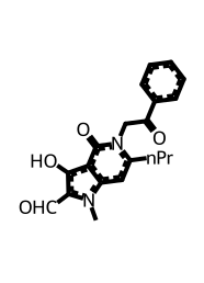 CCCc1cc2c(c(O)c(C=O)n2C)c(=O)n1CC(=O)c1ccccc1